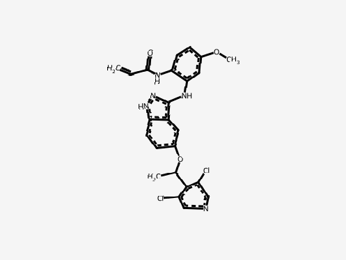 C=CC(=O)Nc1ccc(OC)cc1Nc1n[nH]c2ccc(OC(C)c3c(Cl)cncc3Cl)cc12